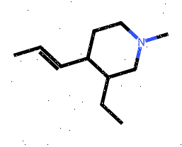 C/C=C/C1CCN(C)CC1CC